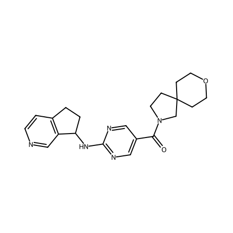 O=C(c1cnc(NC2CCc3ccncc32)nc1)N1CCC2(CCOCC2)C1